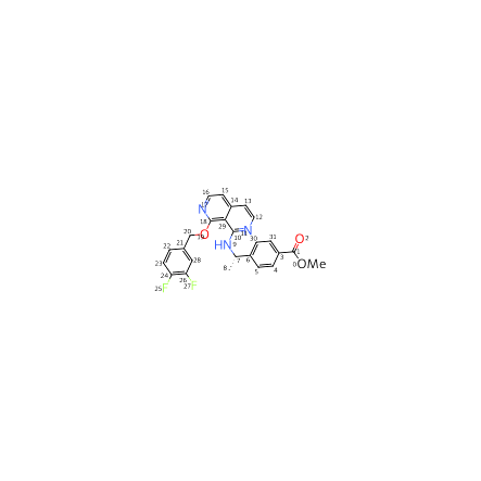 COC(=O)c1ccc([C@H](C)Nc2nccc3ccnc(OCc4ccc(F)c(F)c4)c23)cc1